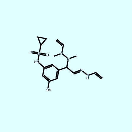 C=CNN=CC(c1cc(O)cc(NS(=O)(=O)C2CC2)c1)N(C)N(C)C=C